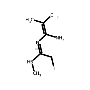 CB/C(CI)=N/C(N)=C(C)C